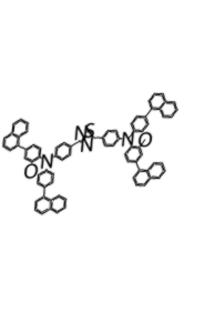 c1ccc2c(-c3ccc4c(c3)Oc3cc(-c5cccc6ccccc56)ccc3N4c3ccc(-c4nsc(-c5ccc(N6c7ccc(-c8cccc9ccccc89)cc7Oc7cc(-c8cccc9ccccc89)ccc76)cc5)n4)cc3)cccc2c1